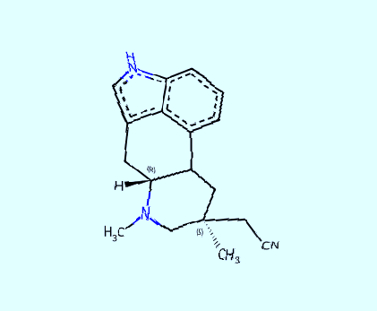 CN1C[C@](C)(CC#N)CC2c3cccc4[nH]cc(c34)C[C@H]21